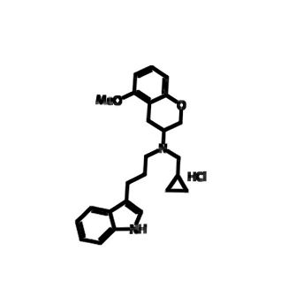 COc1cccc2c1CC(N(CCCc1c[nH]c3ccccc13)CC1CC1)CO2.Cl